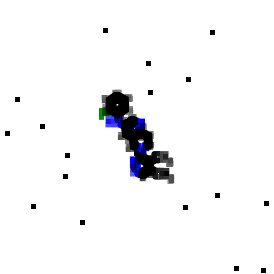 Cc1cnnc(N2CCc3ncc(Nc4ccccc4F)cc3C2)c1C